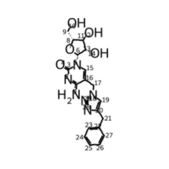 Nc1nc(=O)n([C@@H]2O[C@H](CO)C(O)[C@@H]2O)cc1Cn1cc(Cc2ccccc2)nn1